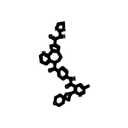 Cc1cnc(N2CC3(CCOCC3)C2)c(C(=O)Nc2ccc(C(=O)N3CCc4cc(C(=O)Nc5nccs5)sc4-c4ncccc43)cc2)c1